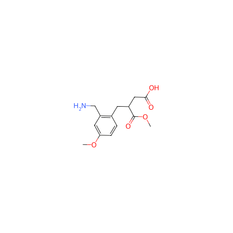 COC(=O)C(CC(=O)O)Cc1ccc(OC)cc1CN